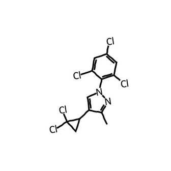 Cc1nn(-c2c(Cl)cc(Cl)cc2Cl)cc1C1CC1(Cl)Cl